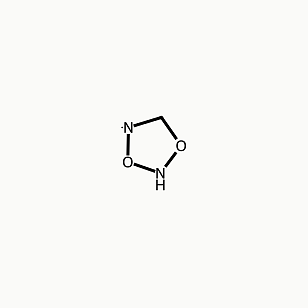 C1[N]ONO1